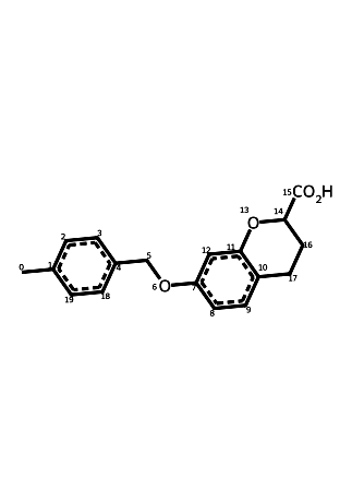 Cc1ccc(COc2ccc3c(c2)OC(C(=O)O)CC3)cc1